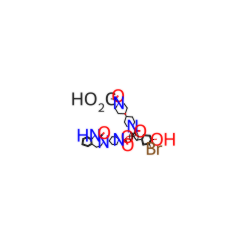 O=C(O)C(=O)N1CCC(C2CCN(C(=O)[C@@H](Cc3ccc(O)c(Br)c3)OC(=O)N3CCC(N4CCc5ccccc5NC4=O)CC3)CC2)CC1